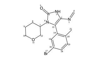 C=Nc1[nH]c(=O)n(C2CCCOC2)c1-c1cc(Br)ccc1C